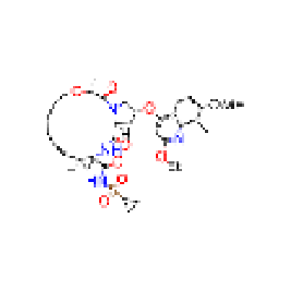 CCOc1cc(O[C@@H]2C[C@H]3C(=O)N[C@]4(C(=O)NS(=O)(=O)C5CC5)C[C@H]4/C=C\CCCCO[C@H](C)C(=O)N3C2)c2ccc(OC)c(C)c2n1